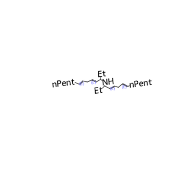 CCCCC/C=C/C/C=C/C(CC)NC(/C=C/C/C=C/CCCCC)CC